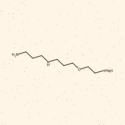 CCCCCCCCCOCCCNCCCN